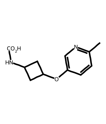 Cc1ccc(OC2CC(NC(=O)O)C2)cn1